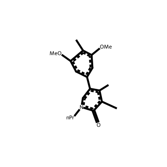 CCCn1cc(-c2cc(OC)c(C)c(OC)c2)c(C)c(C)c1=O